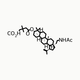 C=C(C)[C@@H]1CC[C@]2(CCNC(C)=O)CC[C@]3(C)[C@H](CC[C@@H]4[C@@]5(C)CC[C@H](OC(=O)CC(C)(C)CC(=O)O)C(C)(C)[C@@H]5CC[C@]43C)[C@@H]12